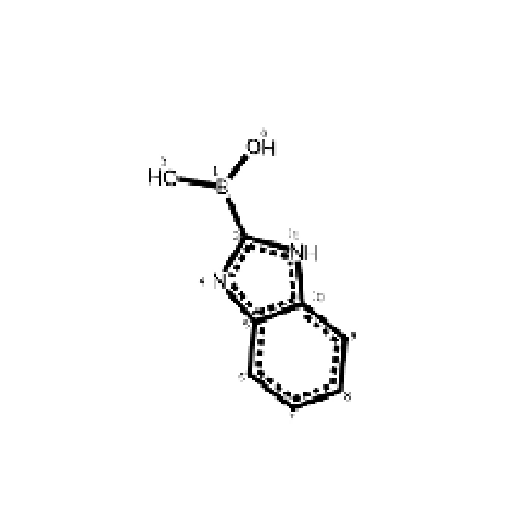 OB(O)c1nc2ccccc2[nH]1